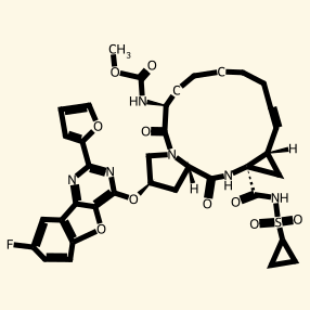 COC(=O)N[C@H]1CCCCC/C=C\[C@@H]2C[C@@]2(C(=O)NS(=O)(=O)C2CC2)NC(=O)[C@@H]2C[C@@H](Oc3nc(-c4ccco4)nc4c3oc3ccc(F)cc34)CN2C1=O